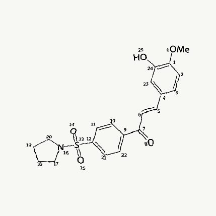 COc1ccc(C=CC(=O)c2ccc(S(=O)(=O)N3CCCC3)cc2)cc1O